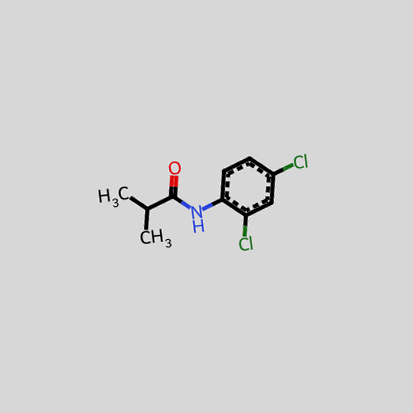 CC(C)C(=O)Nc1ccc(Cl)cc1Cl